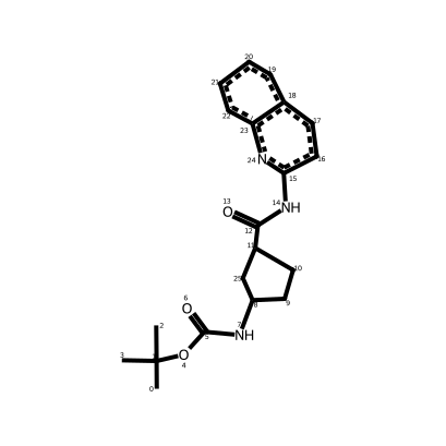 CC(C)(C)OC(=O)NC1CCC(C(=O)Nc2ccc3ccccc3n2)C1